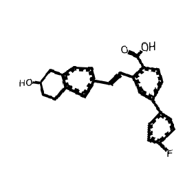 O=C(O)c1ccc(-c2ccc(F)cc2)cc1/C=C/c1ccc2c(c1)CCC(O)C2